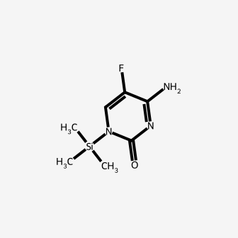 C[Si](C)(C)n1cc(F)c(N)nc1=O